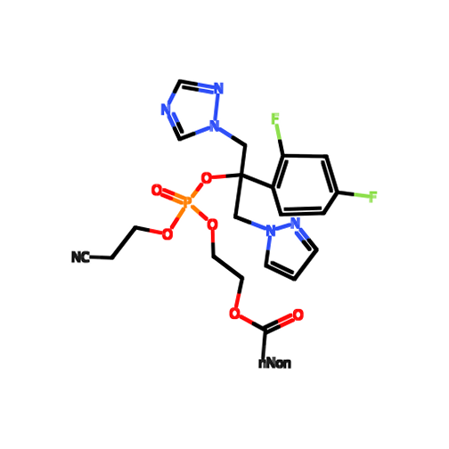 CCCCCCCCCC(=O)OCCOP(=O)(OCCC#N)OC(Cn1cccn1)(Cn1cncn1)c1ccc(F)cc1F